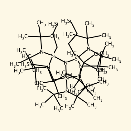 CC(C)(C)N(C(C)(C)C)[Si](CC[SiH3])(N(C(C)(C)C)C(C)(C)C)N([Si](CC[SiH3])(N(C(C)(C)C)C(C)(C)C)N(C(C)(C)C)C(C)(C)C)[Si](CC[SiH3])(N(C(C)(C)C)C(C)(C)C)N(C(C)(C)C)C(C)(C)C